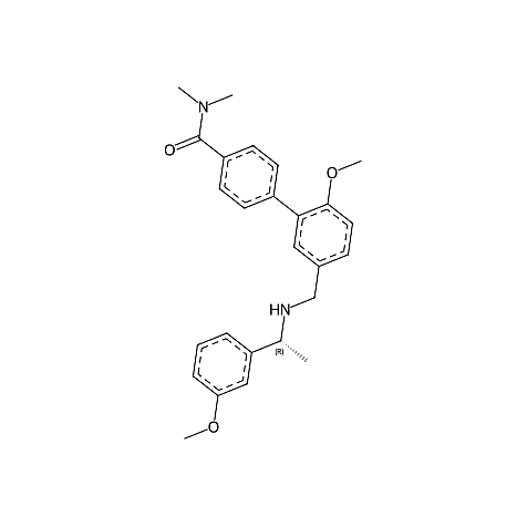 COc1cccc([C@@H](C)NCc2ccc(OC)c(-c3ccc(C(=O)N(C)C)cc3)c2)c1